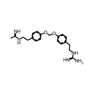 CC(=N)NCCc1ccc(OCOc2ccc(CCNC(=N)N)cc2)cc1